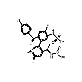 CCS(=O)(=O)Nc1cc(-c2cn(C)c(=O)cc2[C@@H](C)N[S@@+]([O-])C(C)(C)C)c(C(=O)c2ccc(Cl)cc2)cc1F